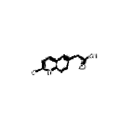 O=C(O)Cc1ccc2nc(Cl)ccc2c1